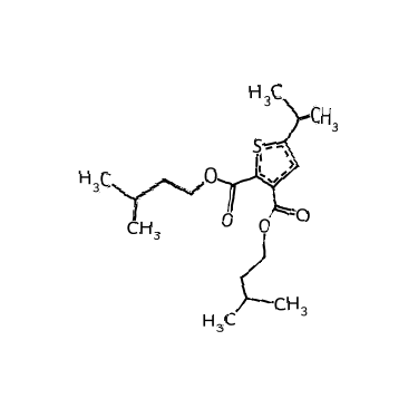 CC(C)CCOC(=O)c1cc(C(C)C)sc1C(=O)OCCC(C)C